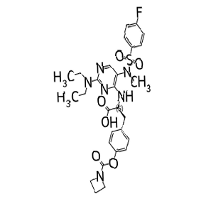 CCN(CC)c1ncc(N(C)S(=O)(=O)c2ccc(F)cc2)c(N[C@@H](Cc2ccc(OC(=O)N3CCC3)cc2)C(=O)O)n1